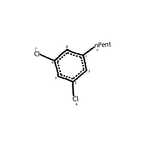 [CH2]CCCCc1cc(Cl)cc(Cl)c1